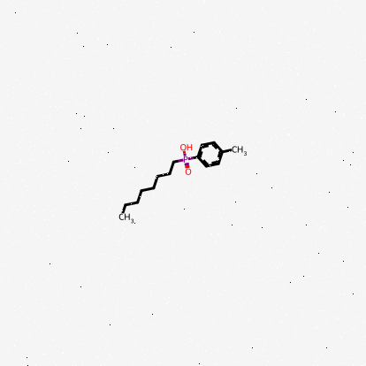 CCCCCCCCP(=O)(O)c1ccc(C)cc1